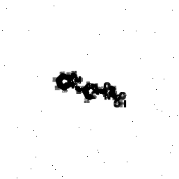 O=C(O)c1coc(-c2ccc(Cn3ncc4ccccc43)cc2)n1